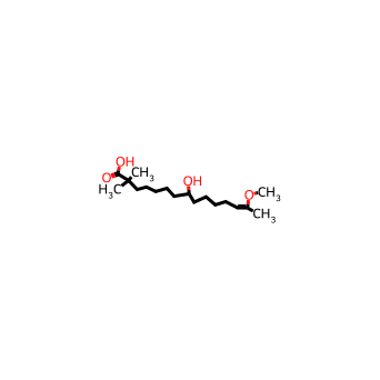 CO/C(C)=C\CCCCC(O)CCCCCC(C)(C)C(=O)O